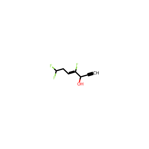 C#CC(O)/C(F)=C/CC(F)F